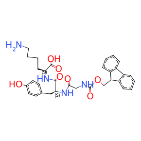 NCCCC[C@H](NC(=O)[C@H](Cc1ccc(O)cc1)NC(=O)CNC(=O)OCC1c2ccccc2-c2ccccc21)C(=O)O